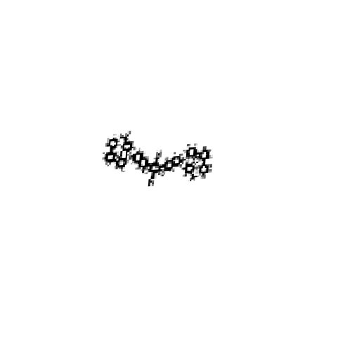 CC(C)c1ccc(N(c2ccc3cc4c(cc3c2)oc2c(C#N)c3oc5cc6cc(N(c7ccc(C(C)C)cc7)c7cccc8c7oc7c(-c9ccccc9)cccc78)ccc6cc5c3c(C#N)c24)c2cccc3c2oc2c(-c4ccccc4)cccc23)cc1